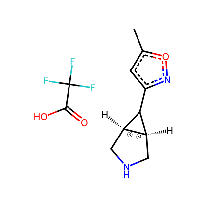 Cc1cc(C2[C@H]3CNC[C@@H]23)no1.O=C(O)C(F)(F)F